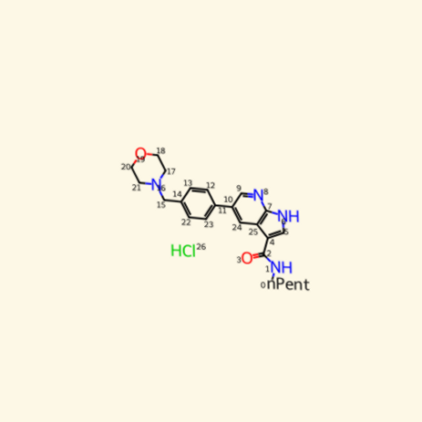 CCCCCNC(=O)c1c[nH]c2ncc(-c3ccc(CN4CCOCC4)cc3)cc12.Cl